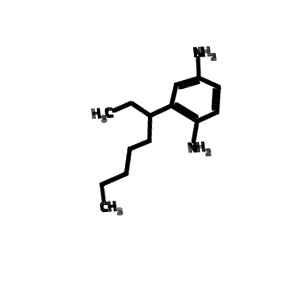 CCCCCC(CC)c1cc(N)ccc1N